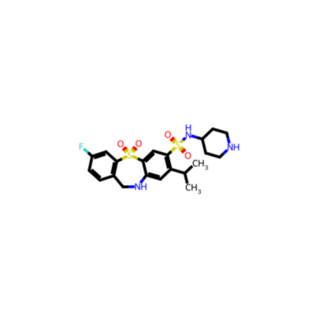 CC(C)c1cc2c(cc1S(=O)(=O)NC1CCNCC1)S(=O)(=O)c1cc(F)ccc1CN2